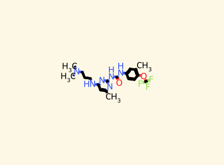 Cc1cc(NCCCN(C)C)nc(NC(=O)Nc2ccc(OC(F)(F)F)c(C)c2)n1